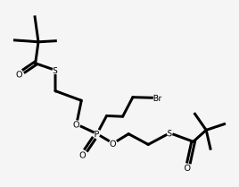 CC(C)(C)C(=O)SCCOP(=O)(CCCBr)OCCSC(=O)C(C)(C)C